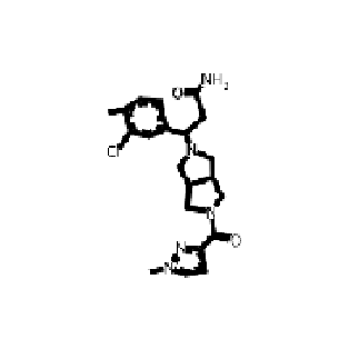 Cc1ccc(C(CC(N)=O)N2CC3CN(C(=O)c4ccn(C)n4)CC3C2)cc1Cl